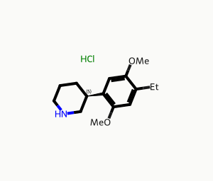 CCc1cc(OC)c([C@@H]2CCCNC2)cc1OC.Cl